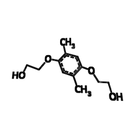 Cc1cc(OCCO)c(C)cc1OCCO